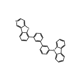 c1cc(-c2cccc(-n3c4ccccc4c4ccccc43)c2)cc(-c2cccc3c2sc2ccncc23)c1